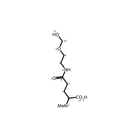 CNC(CCC(=O)NCCOCO)C(=O)O